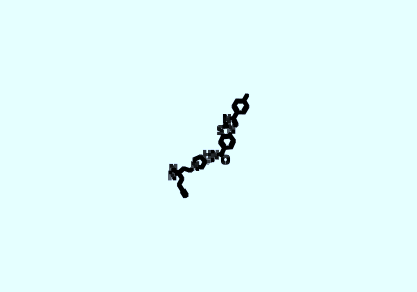 C#CCCC1(CCN2CC[C@H](CNC(=O)c3ccc4c(c3)sc3nc(-c5ccc(C)cc5)cn34)C2)N=N1